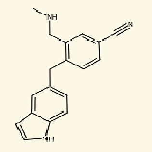 CNCc1cc(C#N)ccc1Cc1ccc2[nH]ccc2c1